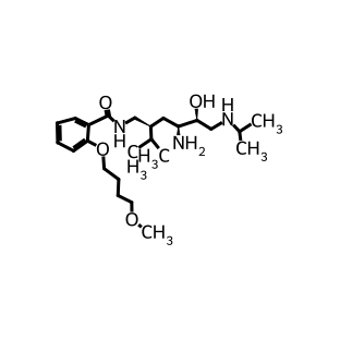 COCCCCOc1ccccc1C(=O)NC[C@@H](C[C@H](N)[C@@H](O)CNC(C)C)C(C)C